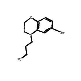 OCCCN1CCOc2ccc(Br)cc21